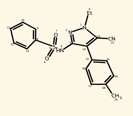 CCn1nc(NS(=O)(=O)c2ccccc2)c(-c2ccc(C)cc2)c1C#N